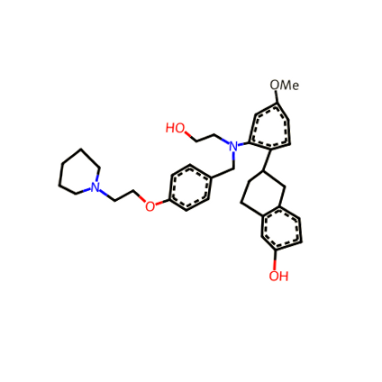 COc1ccc(C2CCc3cc(O)ccc3C2)c(N(CCO)Cc2ccc(OCCN3CCCCC3)cc2)c1